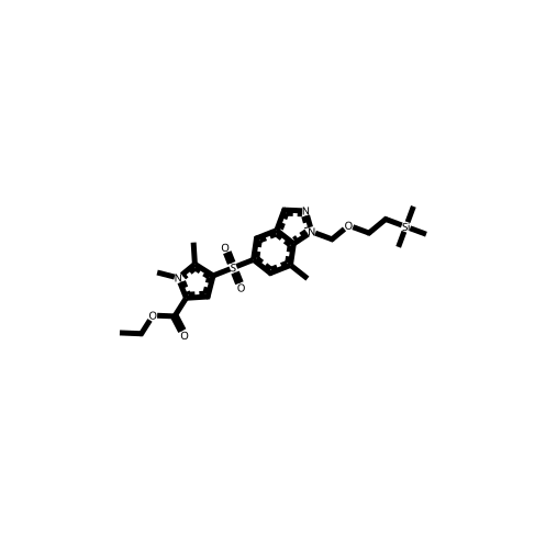 CCOC(=O)c1cc(S(=O)(=O)c2cc(C)c3c(cnn3COCC[Si](C)(C)C)c2)c(C)n1C